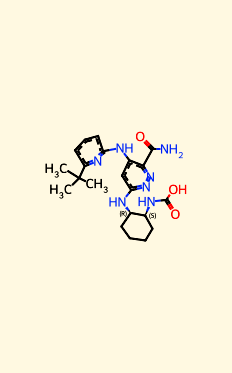 CC(C)(C)c1cccc(Nc2cc(N[C@@H]3CCCC[C@@H]3NC(=O)O)nnc2C(N)=O)n1